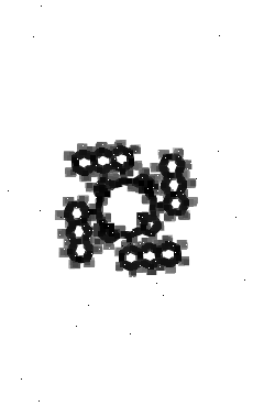 C1=Cc2nc1c(-c1cccc3cc4ccccc4cc13)c1ccc([nH]1)c(-c1cccc3cc4ccccc4cc13)c1nc(c(-c3cccc4cc5ccccc5cc34)c3ccc([nH]3)c2-c2cccc3cc4ccccc4cc23)C=C1